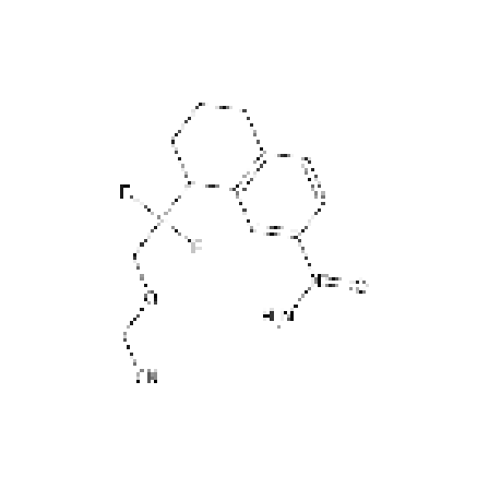 N#CCOCC(F)(F)[C]1CCCc2ccc([N+](N)=O)cc21